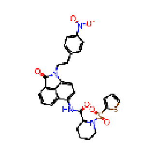 O=C(Nc1ccc2c3c(cccc13)C(=O)N2CCc1ccc([N+](=O)[O-])cc1)C1CCCCN1S(=O)(=O)c1cccs1